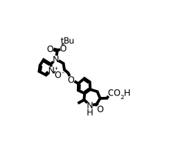 CC1NC(=O)C(CC(=O)O)Cc2ccc(OCCCN(C(=O)OC(C)(C)C)c3cccc[n+]3[O-])cc21